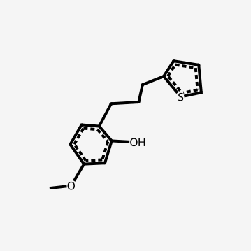 COc1ccc(CCCc2cccs2)c(O)c1